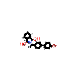 C[C](c1ccc(-c2ccc(Br)cc2)cc1)N1C(O)c2ccccc2C1O